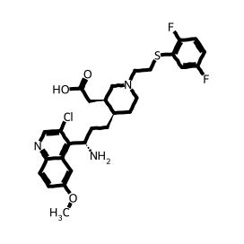 COc1ccc2ncc(Cl)c([C@@H](N)CC[C@@H]3CCN(CCSc4cc(F)ccc4F)C[C@@H]3CC(=O)O)c2c1